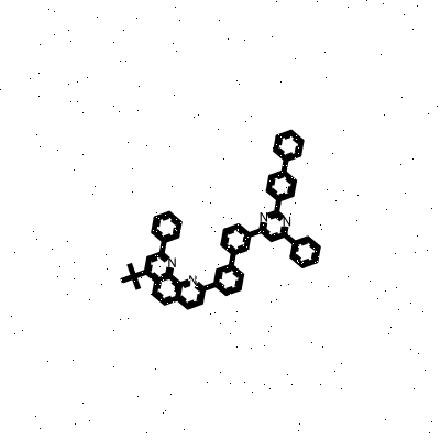 CC(C)(C)c1cc(-c2ccccc2)nc2c1ccc1ccc(-c3cccc(-c4cccc(-c5cc(-c6ccccc6)nc(-c6ccc(-c7ccccc7)cc6)n5)c4)c3)nc12